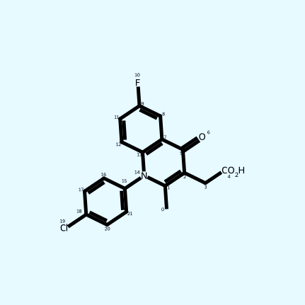 Cc1c(CC(=O)O)c(=O)c2cc(F)ccc2n1-c1ccc(Cl)cc1